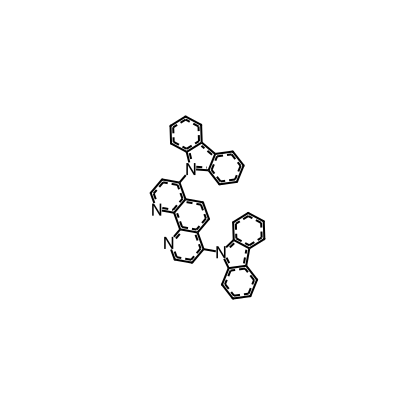 c1ccc2c(c1)c1ccccc1n2-c1ccnc2c1ccc1c(-n3c4ccccc4c4ccccc43)ccnc12